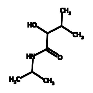 CC(C)NC(=O)C(O)C(C)C